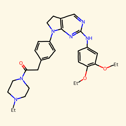 CCOc1ccc(Nc2ncc3c(n2)N(c2ccc(CC(=O)N4CCN(CC)CC4)cc2)CC3)cc1OCC